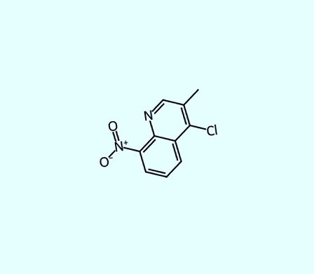 Cc1cnc2c([N+](=O)[O-])cccc2c1Cl